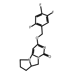 O=c1nc(OCc2cc(F)c(F)cc2F)cc2n1CC1CCCN21